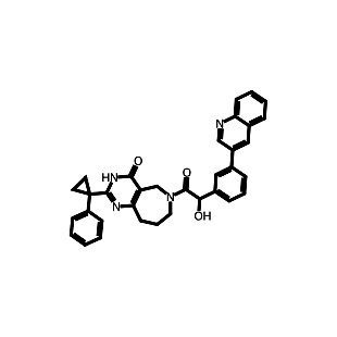 O=C(C(O)c1cccc(-c2cnc3ccccc3c2)c1)N1CCCc2nc(C3(c4ccccc4)CC3)[nH]c(=O)c2C1